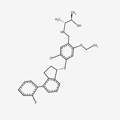 CCOc1cc(O[C@H]2CCc3c(-c4ccccc4F)cccc32)c(Cl)cc1CN[C@H](C)[C@@H](C)O